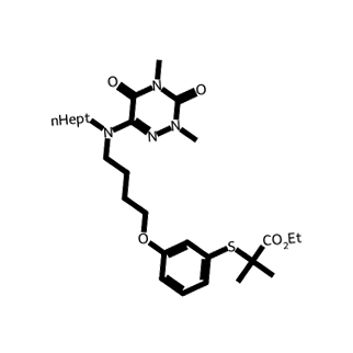 CCCCCCCN(CCCCOc1cccc(SC(C)(C)C(=O)OCC)c1)c1nn(C)c(=O)n(C)c1=O